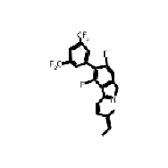 C/C=C(C)\C=C/C1=NCc2cc(F)c(-c3cc(C(F)(F)F)cc(C(F)(F)F)c3)c(F)c21